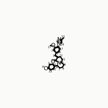 COc1ccc(C2CCCC3CC/C(=C\c4ccc(-n5cnc(C)c5)c(OC)c4)C(=O)N32)cc1